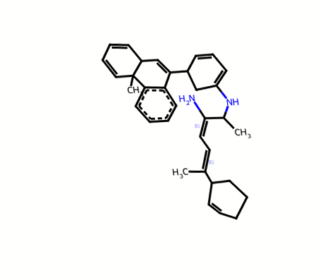 C/C(=C\C=C(\N)C(C)NC1=CC=CC(C2=CC3C=CC=CC3(C)c3ccccc32)C1)C1C=CCCC1